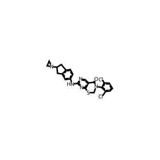 O=C1c2cnc(Nc3ccc4c(c3)CC(N3CC3)C4)nc2SCN1c1c(Cl)cccc1Cl